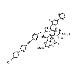 COC(=O)NC(C(=O)NC(Cc1ccc(C#Cc2ccc(N3CCN(C4COC4)CC3)nc2)cc1)C(O)CN(Cc1c(F)cc(-c2ncccn2)cc1F)NC(=O)C(NC(=O)O)C(C)(C)C)C(C)(C)C(F)(F)F